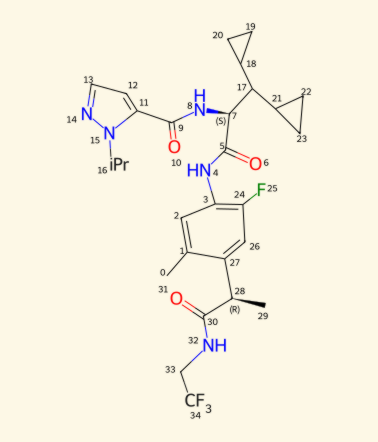 Cc1cc(NC(=O)[C@@H](NC(=O)c2ccnn2C(C)C)C(C2CC2)C2CC2)c(F)cc1[C@@H](C)C(=O)NCC(F)(F)F